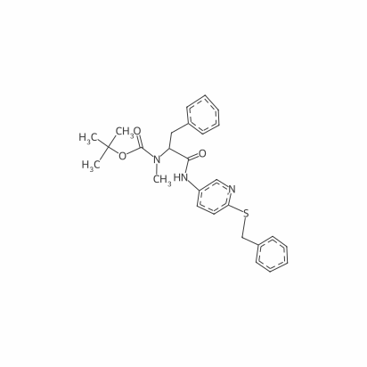 CN(C(=O)OC(C)(C)C)C(Cc1ccccc1)C(=O)Nc1ccc(SCc2ccccc2)nc1